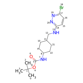 CC(C)(C)OC(=O)NC1CCC(CNc2ccc(Br)nn2)CC1